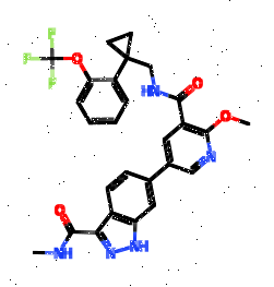 CNC(=O)c1n[nH]c2cc(-c3cnc(OC)c(C(=O)NCC4(c5ccccc5OC(F)(F)F)CC4)c3)ccc12